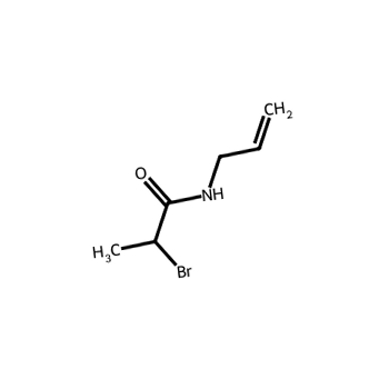 C=CCNC(=O)C(C)Br